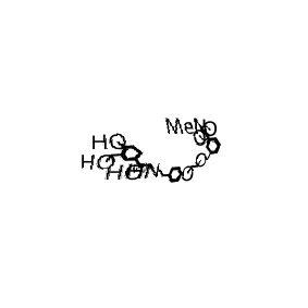 CNS(=O)(=O)c1cccc(COCCOc2ccc(CCNC[C@@H](O)c3ccc(O)c(CO)c3)cc2)c1